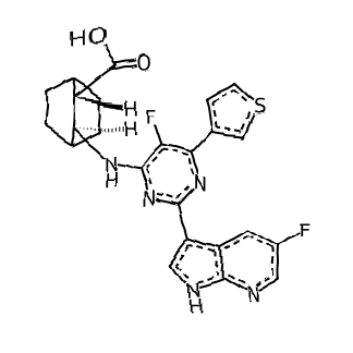 O=C(O)[C@H]1C2CCC(CC2)[C@@H]1Nc1nc(-c2c[nH]c3ncc(F)cc23)nc(-c2ccsc2)c1F